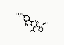 CC(C)[C@H](NC(=O)c1ccc(N)cc1F)C(=O)N1CCC[C@H]1C=O